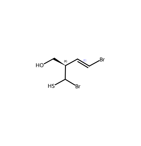 OC[C@@H](/C=C/Br)C(S)Br